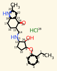 CCc1ccccc1OC1CCC(NCC2CCc3[nH]c(C)cc3C2=O)C1O.Cl